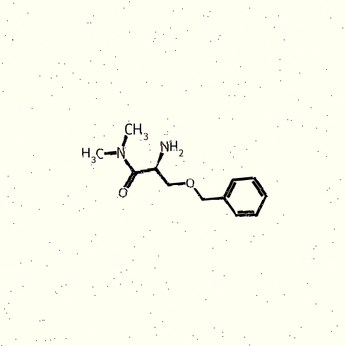 CN(C)C(=O)[C@@H](N)COCc1ccccc1